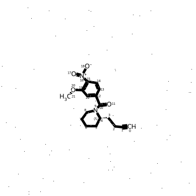 C#CCC[C@@H]1CCCCN1C(=O)c1ccc([N+](=O)[O-])c(OC)c1